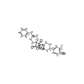 COC(=O)C1(S(=O)(=O)N2CCC(c3ccc(Br)c(C)c3)CC2)CCN(Cc2ccccc2)CC1